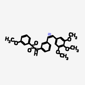 COc1cccc(S(=O)(=O)Nc2cccc(/C=C\c3cc(OC)c(OC)c(OC)c3)c2)c1